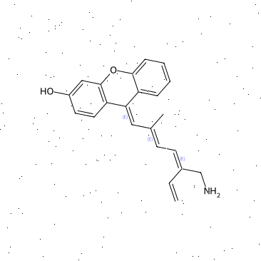 C=C\C(=C/C=C(C)/C=C1\c2ccccc2Oc2cc(O)ccc21)CN